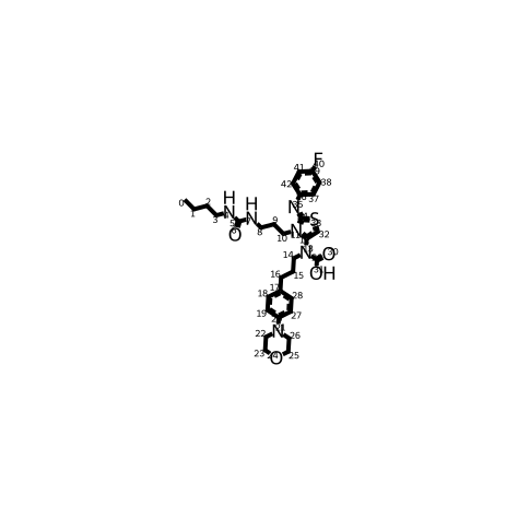 CCCCNC(=O)NCCCn1c(N(CCCc2ccc(N3CCOCC3)cc2)C(=O)O)csc1=Nc1ccc(F)cc1